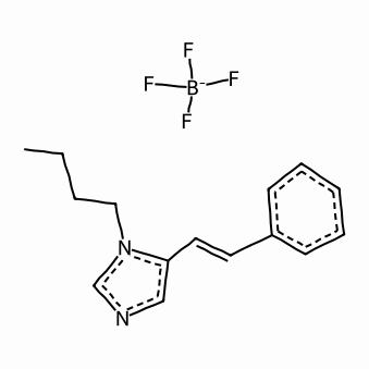 CCCCn1cncc1C=Cc1ccccc1.F[B-](F)(F)F